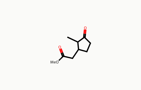 COC(=O)CC1CCC(=O)C1C